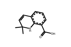 CC1(C)C=Cc2cccc(C(=O)O)c2N1